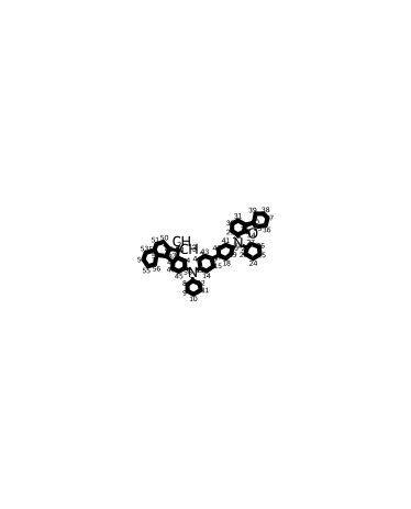 CC1(C)c2cc(N(c3ccccc3)c3ccc(-c4ccc(N(c5ccccc5)c5cccc6c5oc5ccccc56)cc4)cc3)ccc2-c2c1ccc1ccccc21